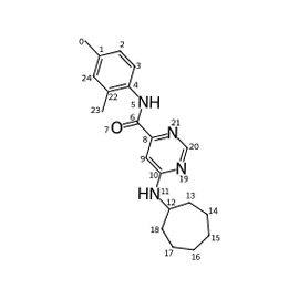 Cc1ccc(NC(=O)c2cc(NC3CCCCCC3)ncn2)c(C)c1